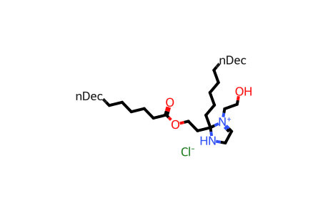 CCCCCCCCCCCCCCCC(=O)OCCC1(CCCCCCCCCCCCCCC)NCC=[N+]1CCO.[Cl-]